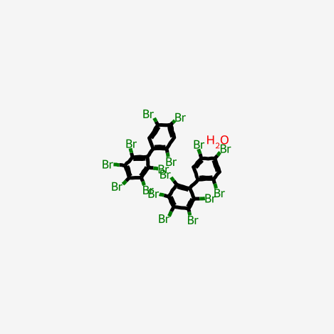 Brc1cc(Br)c(-c2c(Br)c(Br)c(Br)c(Br)c2Br)cc1Br.Brc1cc(Br)c(-c2c(Br)c(Br)c(Br)c(Br)c2Br)cc1Br.O